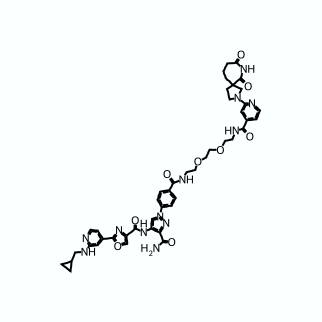 NC(=O)c1nn(-c2ccc(C(=O)NCCOCCOCCNC(=O)c3ccnc(N4CCC5(CCCC(=O)NC5=O)C4)c3)cc2)cc1NC(=O)c1coc(-c2ccnc(NCC3CC3)c2)n1